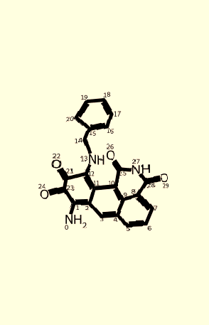 NC1=c2cc3cccc4c3c(c2=C(NCc2ccccc2)C(=O)C1=O)C(=O)NC4=O